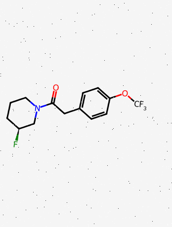 O=C(Cc1ccc(OC(F)(F)F)cc1)N1CCC[C@H](F)C1